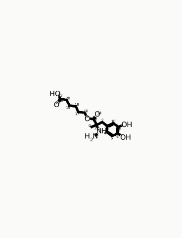 CC(Cc1ccc(O)c(O)c1)(NN)C(=O)OCCCCCC(=O)O